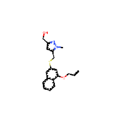 C=CCOc1cc(SCc2cc(CO)nn2C)cc2ccccc12